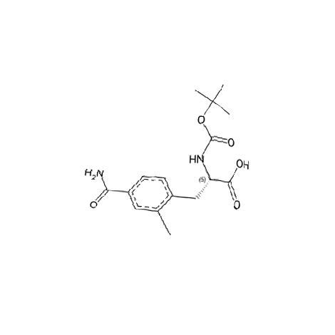 Cc1cc(C(N)=O)ccc1C[C@H](NC(=O)OC(C)(C)C)C(=O)O